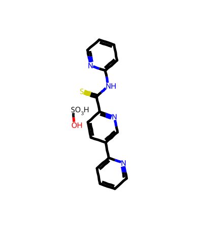 O=S(=O)(O)O.S=C(Nc1ccccn1)c1ccc(-c2ccccn2)cn1